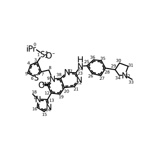 CC(C)[S+]([O-])c1ccsc1Cn1c(=O)c(-c2nccn2C)cc2cnc(Nc3ccc(C4CCN(C)C4)cc3)nc21